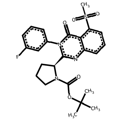 CC(C)(C)OC(=O)N1CCC[C@H]1c1nc2cccc(S(C)(=O)=O)c2c(=O)n1-c1cccc(F)c1